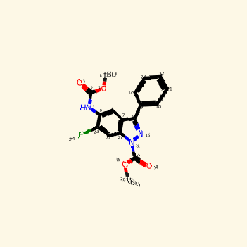 CC(C)(C)OC(=O)Nc1cc2c(-c3ccccc3)nn(C(=O)OC(C)(C)C)c2cc1F